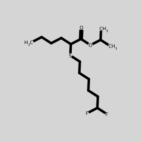 CCCCC(SCCCCCC(F)F)C(=O)OC(C)C